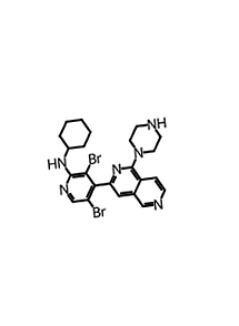 Brc1cnc(NC2CCCCC2)c(Br)c1-c1cc2cnccc2c(N2CCNCC2)n1